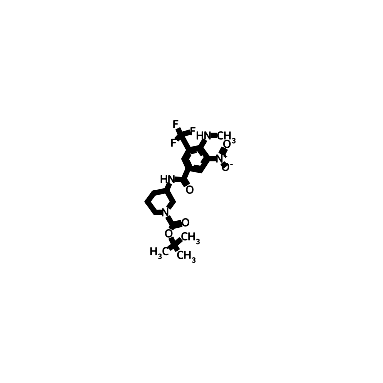 CNc1c([N+](=O)[O-])cc(C(=O)NC2CCCN(C(=O)OC(C)(C)C)C2)cc1C(F)(F)F